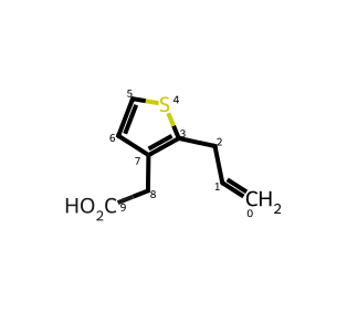 C=CCc1sccc1CC(=O)O